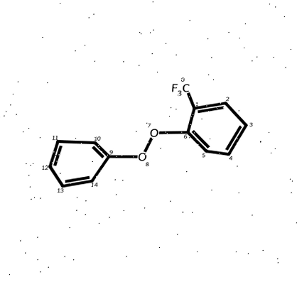 FC(F)(F)c1ccccc1OOc1ccccc1